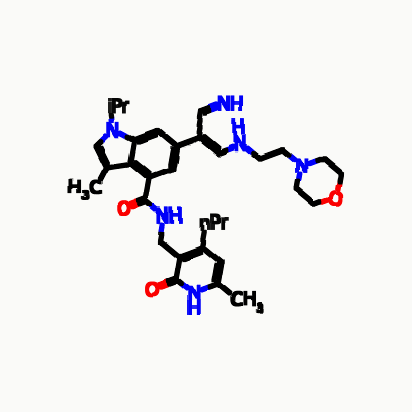 CCCc1cc(C)[nH]c(=O)c1CNC(=O)c1cc(/C(C=N)=C/NCCN2CCOCC2)cc2c1c(C)cn2C(C)C